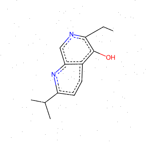 CCc1ncc2nc(C(C)C)ccc2c1O